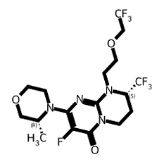 C[C@@H]1COCCN1c1nc2n(c(=O)c1F)CC[C@@H](C(F)(F)F)N2CCOCC(F)(F)F